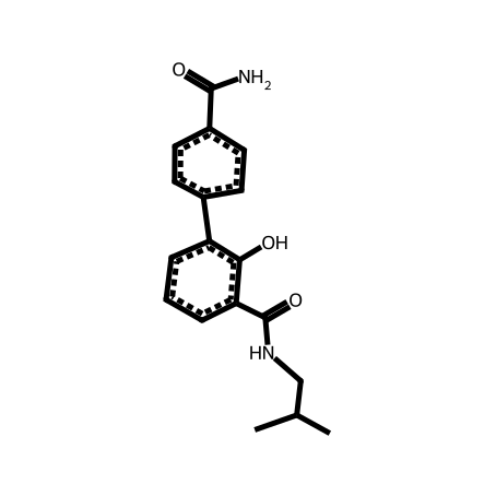 CC(C)CNC(=O)c1cccc(-c2ccc(C(N)=O)cc2)c1O